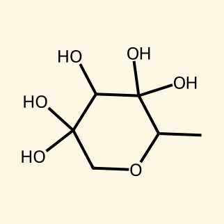 CC1OCC(O)(O)C(O)C1(O)O